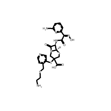 NCCSCc1ccncc1SC1(C(=O)O)CS[C@@H]2[C@H](NC(=O)/C(=N\O)c3cccc(N)n3)C(=O)N2C1